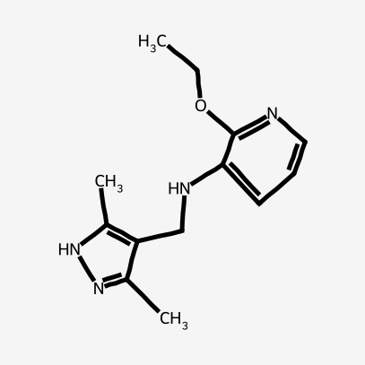 CCOc1ncccc1NCc1c(C)n[nH]c1C